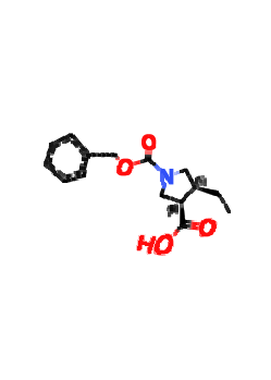 CC[C@@H]1CN(C(=O)OCc2ccccc2)C[C@@H]1C(=O)O